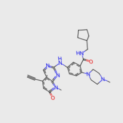 C#Cc1cc(=O)n(C)c2nc(Nc3ccc(N4CCN(C)CC4)c(C(=O)NCC4CCCC4)c3)ncc12